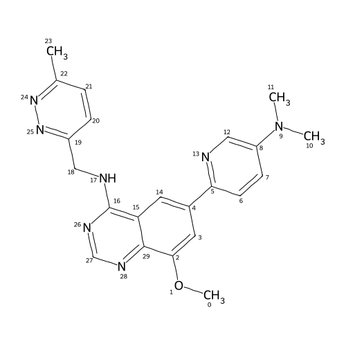 COc1cc(-c2ccc(N(C)C)cn2)cc2c(NCc3ccc(C)nn3)ncnc12